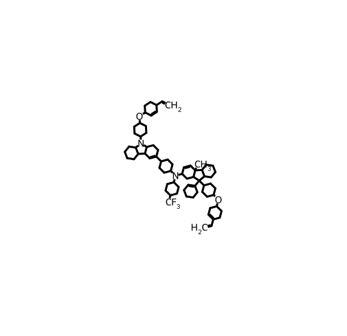 C=CC1=CCC(OC2CCC(C3(C4=CCCCC4)C4CCCCC4C4(C)C=CC(N(C5CCC(C6=CC7C8CCCCC8N(C8CCC(OC9C=CC(C=C)CC9)CC8)C7CC6)CC5)C5CCC(C(F)(F)F)CC5)CC43)CC2)CC1